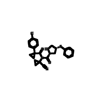 N#CC1(N(C(=O)[C@@H]2C[C@@H](Sc3ccccc3)CN2)C(=O)C2(c3ccc(Cl)cc3)CC2)CC1